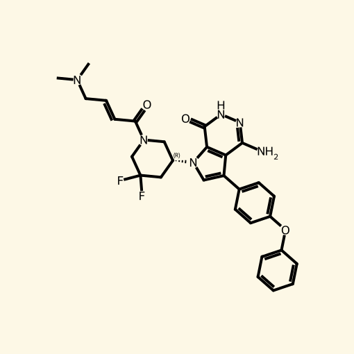 CN(C)CC=CC(=O)N1C[C@H](n2cc(-c3ccc(Oc4ccccc4)cc3)c3c(N)n[nH]c(=O)c32)CC(F)(F)C1